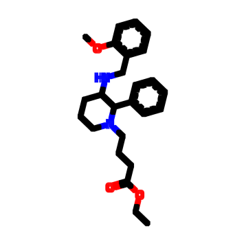 CCOC(=O)CCCN1CCCC(NCc2ccccc2OC)C1c1ccccc1